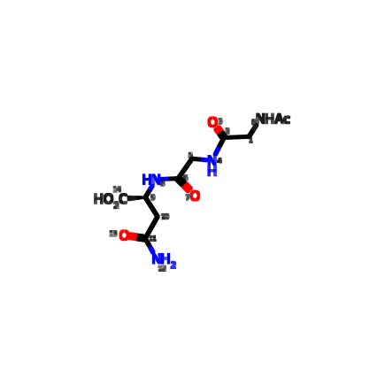 CC(=O)NCC(=O)NCC(=O)N[C@@H](CC(N)=O)C(=O)O